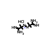 CC(C)(/N=N/C(C)(C)C(=N)N)C(=N)N.Cl